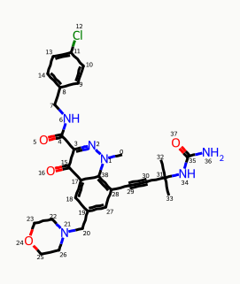 Cn1nc(C(=O)NCc2ccc(Cl)cc2)c(=O)c2cc(CN3CCOCC3)cc(C#CC(C)(C)NC(N)=O)c21